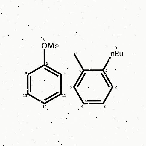 CCCCc1ccccc1C.COc1ccccc1